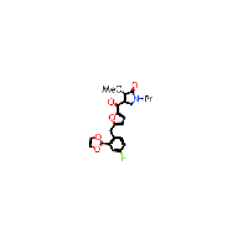 COC1=C(C(=O)c2ccc(Cc3ccc(F)cc3C3OCCO3)o2)CN(C(C)C)C1=O